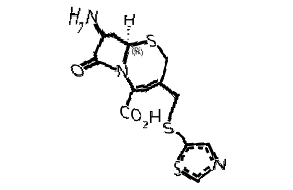 NC1C(=O)N2C(C(=O)O)=C(CSc3cncs3)CS[C@H]12